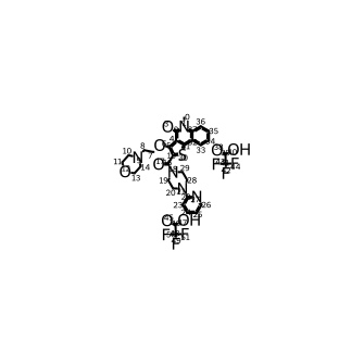 Cn1c(=O)c2c(OCCN3CCOCC3)c(C(=O)N3CCN(c4ccccn4)CC3)sc2c2ccccc21.O=C(O)C(F)(F)F.O=C(O)C(F)(F)F